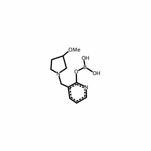 COC1CCN(Cc2cccnc2OB(O)O)C1